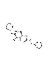 CC(C)N=C(NC(=O)OCc1ccccc1)NC(=O)OCc1ccccc1